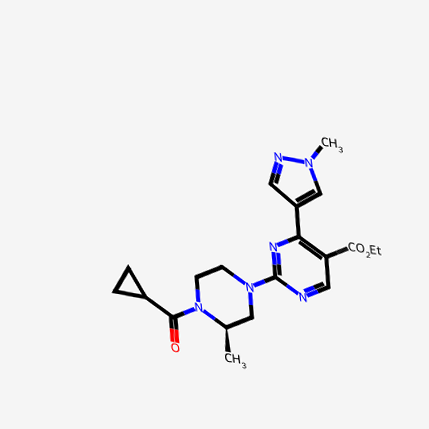 CCOC(=O)c1cnc(N2CCN(C(=O)C3CC3)[C@H](C)C2)nc1-c1cnn(C)c1